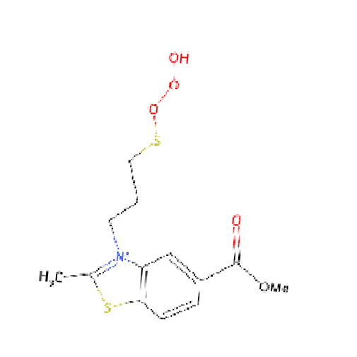 COC(=O)c1ccc2sc(C)[n+](CCCSOOO)c2c1